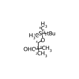 CC(C)(C=O)CO[Si](C)(C)C(C)(C)C